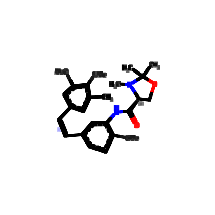 COc1ccc(/C=C\c2cc(C)c(OC)c(OC)c2)cc1NC(=O)[C@@H]1COC(C)(C)N1C